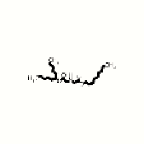 CCCCCC/C=C\COC(=O)CNCC(=O)OC(CCCCC)CCCCC